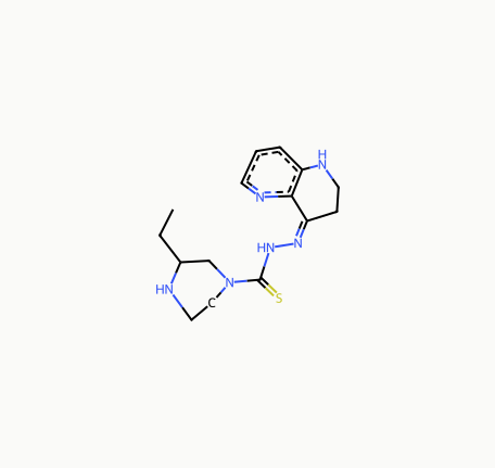 CCC1CN(C(=S)N/N=C2/CCNc3cccnc32)CCN1